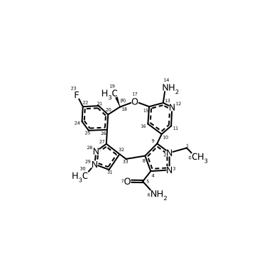 CCn1nc(C(N)=O)c2c1-c1cnc(N)c(c1)O[C@H](C)c1cc(F)ccc1-c1nn(C)cc1C2